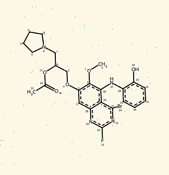 COc1c(OCC(CN2CCCC2)OC(C)=O)cc2nc(F)nc(Br)c2c1Nc1ccccc1O